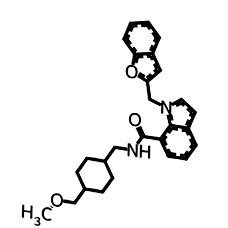 COCC1CCC(CNC(=O)c2cccc3ccn(Cc4cc5ccccc5o4)c23)CC1